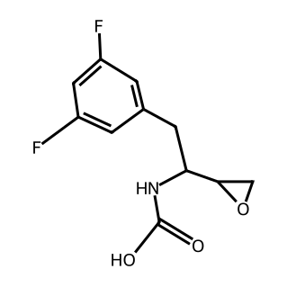 O=C(O)NC(Cc1cc(F)cc(F)c1)C1CO1